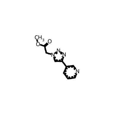 COC(=O)Cn1cc(-c2cccnc2)nn1